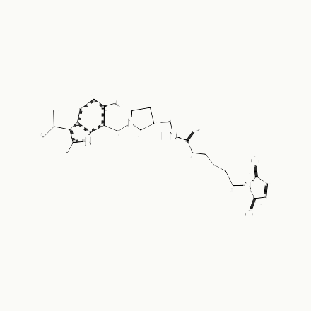 Cc1[nH]c2c(CN3CC[C@@H](CNC(=O)CCCCCN4C(=O)C=CC4=O)C3)c(O)ccc2c1C(C)C